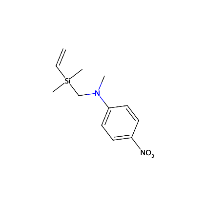 C=C[Si](C)(C)CN(C)c1ccc([N+](=O)[O-])cc1